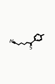 Cc1ccc(C(=S)CCCCC#N)cc1